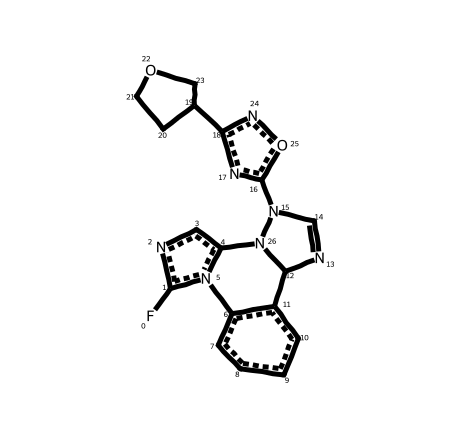 Fc1ncc2n1-c1ccccc1C1N=CN(c3nc(C4CCOC4)no3)N21